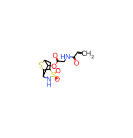 C=CC(=O)NCC(=O)OC1C2CC3C(S2)C1NS3(=O)=O